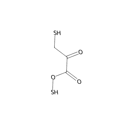 O=C(CS)C(=O)OS